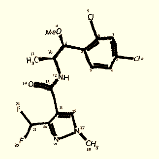 CO[C@@H](c1ccc(Cl)cc1Cl)[C@H](C)NC(=O)c1cn(C)nc1C(F)F